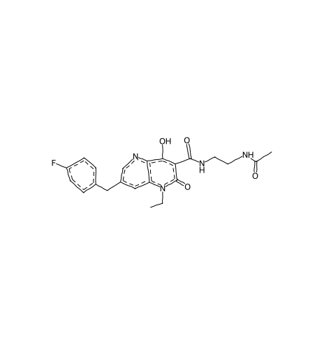 CCn1c(=O)c(C(=O)NCCNC(C)=O)c(O)c2ncc(Cc3ccc(F)cc3)cc21